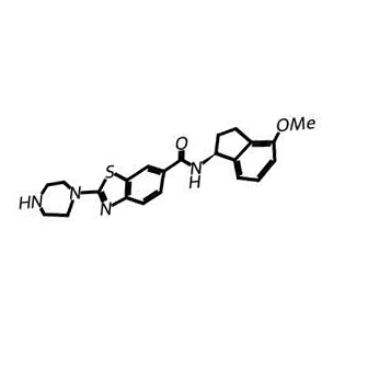 COc1cccc2c1CC[C@@H]2NC(=O)c1ccc2nc(N3CCNCC3)sc2c1